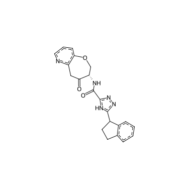 O=C(N[C@H]1COc2cccnc2CC1=O)c1nnc(C2CCc3ccccc32)[nH]1